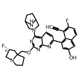 C#Cc1c(F)ccc2cc(O)cc(-c3ccc4c(N5CC6CCC(C5)N6)nc(OCC56CCCN5C[C@H](F)C6)nc4n3)c12